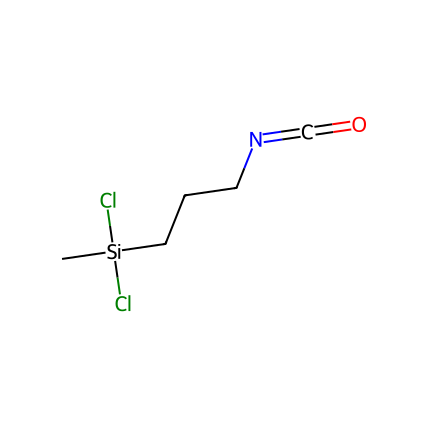 C[Si](Cl)(Cl)CCCN=C=O